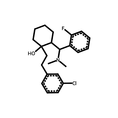 CN(C)C(c1ccccc1F)C1CCCCC1(O)CCc1cccc(Cl)c1